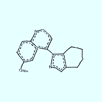 COc1ccc2nccc(-n3ncc4c3CC[C]C4)c2c1